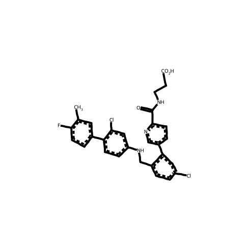 Cc1cc(-c2ccc(NCc3ccc(Cl)cc3-c3ccc(C(=O)NCCC(=O)O)nc3)cc2Cl)ccc1F